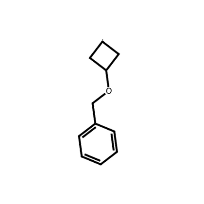 [CH]1CC(OCc2ccccc2)C1